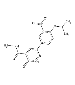 CC(C)Oc1ccc(-c2cc(C(=O)NN)c(=O)[nH]n2)cc1[N+](=O)[O-]